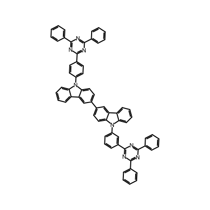 c1ccc(-c2nc(-c3ccccc3)nc(-c3ccc(-n4c5ccccc5c5cc(-c6ccc7c(c6)c6ccccc6n7-c6cccc(-c7nc(-c8ccccc8)nc(-c8ccccc8)n7)c6)ccc54)cc3)n2)cc1